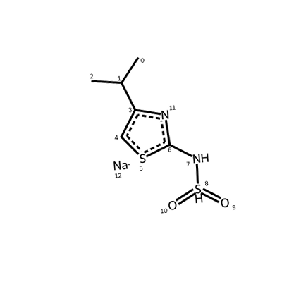 CC(C)c1csc(N[SH](=O)=O)n1.[Na]